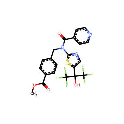 COC(=O)c1ccc(CN(C(=O)c2ccncc2)c2ncc(C(O)(C(F)(F)F)C(F)(F)F)s2)cc1